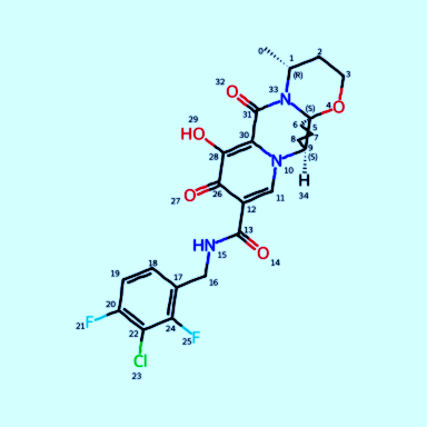 C[C@@H]1CCO[C@@]23CCC[C@@H]2n2cc(C(=O)NCc4ccc(F)c(Cl)c4F)c(=O)c(O)c2C(=O)N13